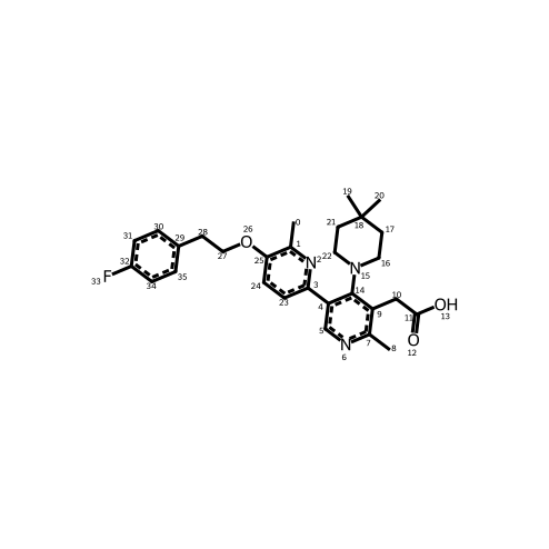 Cc1nc(-c2cnc(C)c(CC(=O)O)c2N2CCC(C)(C)CC2)ccc1OCCc1ccc(F)cc1